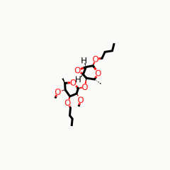 CCCCO[C@H]1O[C@H](C)[C@@H](O[C@@H]2O[C@H](C)[C@@H](OC)[C@H](OCCCC)[C@H]2OC)[C@H]2O[C@@H]12